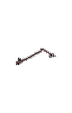 CCOC(=O)CCCCCCCC1CC1CCCCCCCCCCCCCCCCCCCC(CN(C)C)CN(C)C